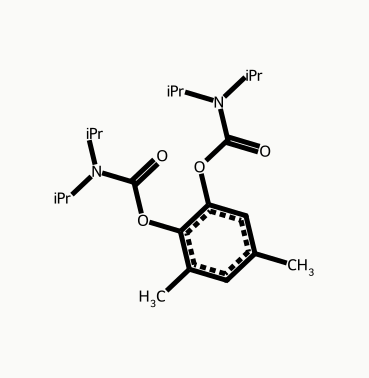 Cc1cc(C)c(OC(=O)N(C(C)C)C(C)C)c(OC(=O)N(C(C)C)C(C)C)c1